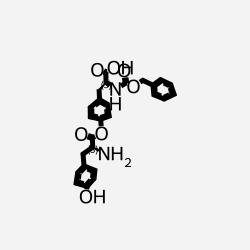 N[C@@H](Cc1ccc(O)cc1)C(=O)Oc1ccc(C[C@H](NC(=O)OCc2ccccc2)C(=O)O)cc1